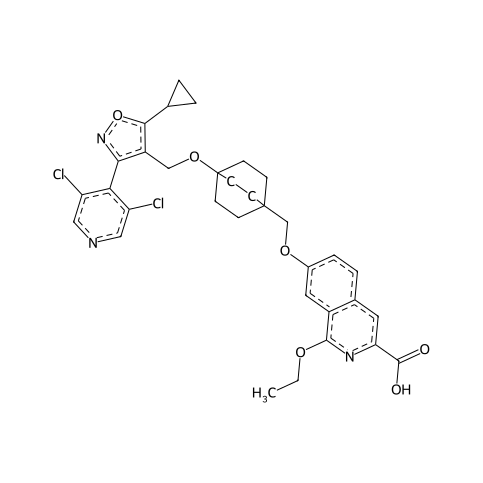 CCOc1nc(C(=O)O)cc2ccc(OCC34CCC(OCc5c(-c6c(Cl)cncc6Cl)noc5C5CC5)(CC3)CC4)cc12